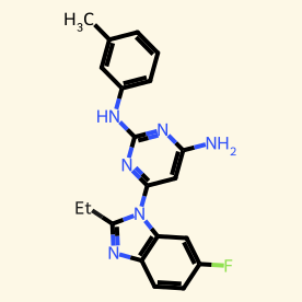 CCc1nc2ccc(F)cc2n1-c1cc(N)nc(Nc2cccc(C)c2)n1